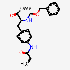 C=CC(=O)Nc1ccc(CC(NCOCc2ccccc2)C(=O)OC)cc1